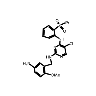 COc1ccc(N)cc1CNc1ncc(Cl)c(Nc2ccccc2S(=O)(=O)C(C)C)n1